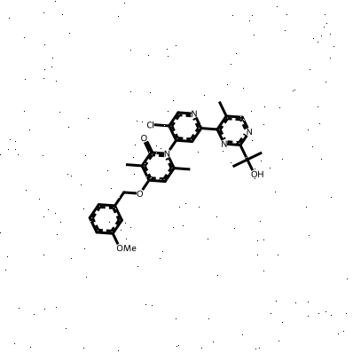 COc1cccc(COc2cc(C)n(-c3cc(-c4nc(C(C)(C)O)ncc4C)ncc3Cl)c(=O)c2C)c1